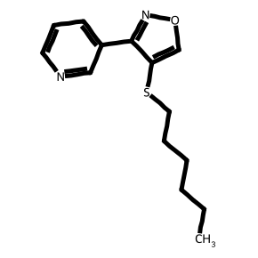 CCCCCCSc1conc1-c1cccnc1